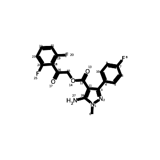 Cn1nc(-c2ccc(F)cc2)c(C(=O)OCC(=O)c2c(F)cccc2F)c1N